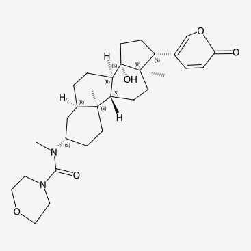 CN(C(=O)N1CCOCC1)[C@H]1CC[C@@]2(C)[C@H](CC[C@@H]3[C@@H]2CC[C@]2(C)[C@@H](c4ccc(=O)oc4)CC[C@]32O)C1